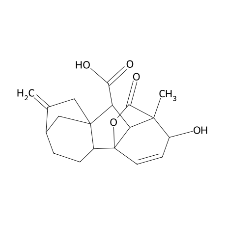 C=C1CC23CC1CCC2C12C=CC(O)C(C)(C(=O)O1)C2C3C(=O)O